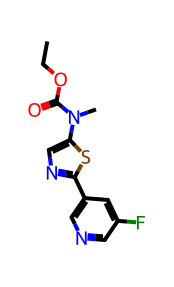 CCOC(=O)N(C)c1cnc(-c2cncc(F)c2)s1